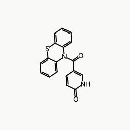 O=C(c1ccc(=O)[nH]c1)N1c2ccccc2Sc2ccccc21